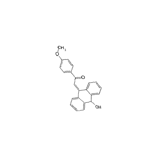 COc1ccc(C(=O)C=C2c3ccccc3C(O)c3ccccc32)cc1